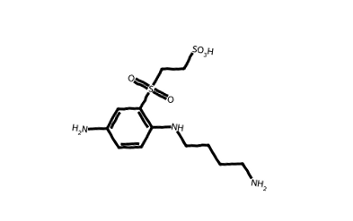 NCCCCNc1ccc(N)cc1S(=O)(=O)CCS(=O)(=O)O